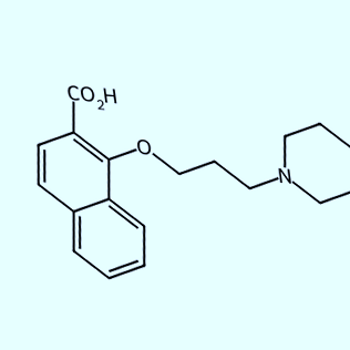 O=C(O)c1ccc2ccccc2c1OCCCN1CCCCC1